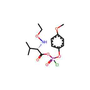 CCON[C@H](C(=O)OP(=O)(Cl)Oc1ccc(OC)cc1)C(C)C